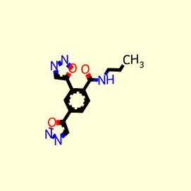 CCCNC(=O)c1ccc(-c2cnno2)cc1-c1cnno1